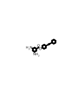 Nc1cc(N)cc(C(=O)Oc2ccc(C#Cc3ccccc3)cc2)c1